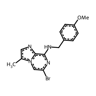 COc1ccc(CNc2nc(Br)cn3c(C)cnc23)cc1